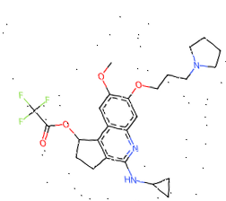 COc1cc2c3c(c(NC4CC4)nc2cc1OCCCN1CCCC1)CCC3OC(=O)C(F)(F)F